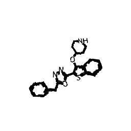 c1ccc(Cc2nnc(-c3sc4ccccc4c3OC3CCNCC3)o2)cc1